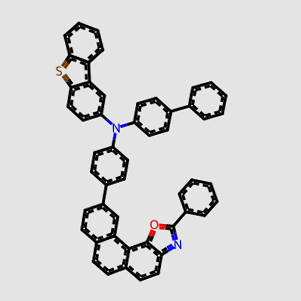 c1ccc(-c2ccc(N(c3ccc(-c4ccc5ccc6ccc7nc(-c8ccccc8)oc7c6c5c4)cc3)c3ccc4sc5ccccc5c4c3)cc2)cc1